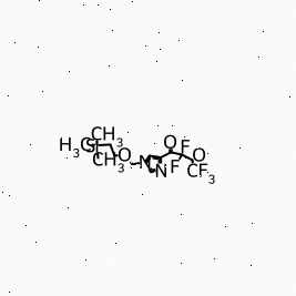 C[Si](C)(C)CCOCn1cnc(C(=O)C(F)(F)C(=O)C(F)(F)F)c1